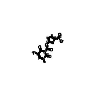 Cn1cc(F)c(=O)n(C(=O)Oc2ccc([N+](=O)[O-])s2)c1=O